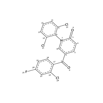 O=C(c1ccc(=O)n(-c2c(Cl)cccc2Cl)c1)c1ccc(F)cc1Cl